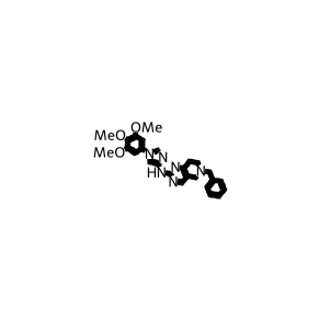 COc1cc(-n2cnc(Nc3ncc4c(n3)CCN(Cc3ccccc3)C4)c2)cc(OC)c1OC